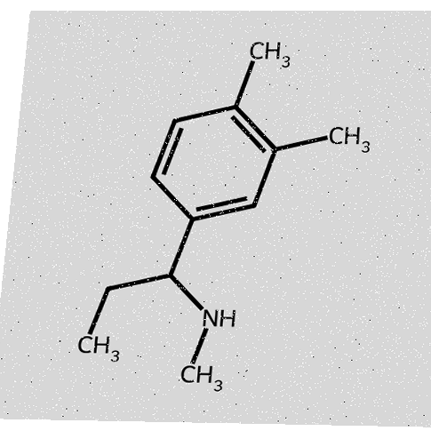 CCC(NC)c1ccc(C)c(C)c1